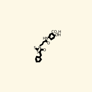 O=C(CCCN1C(=O)/C(=C/c2ccccc2)SC1=S)Nc1ccc(O)c(C(=O)O)c1